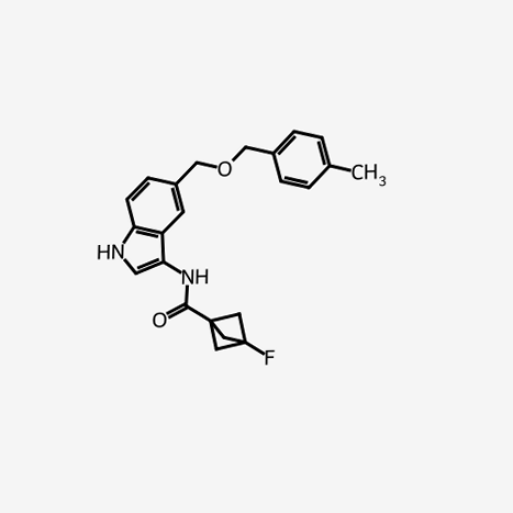 Cc1ccc(COCc2ccc3[nH]cc(NC(=O)C45CC(F)(C4)C5)c3c2)cc1